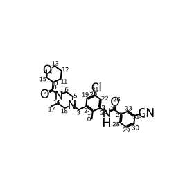 Cc1c(CN2CCN(C(=O)C3CCCOC3)C(C)C2)cc(Cl)cc1NC(=O)c1cccc(C#N)c1